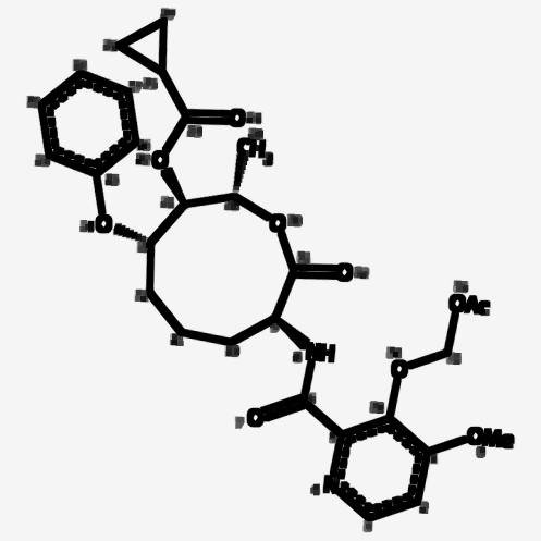 COc1ccnc(C(=O)N[C@H]2CCC[C@H](Oc3ccccc3)[C@@H](OC(=O)C3CC3)[C@H](C)OC2=O)c1OCOC(C)=O